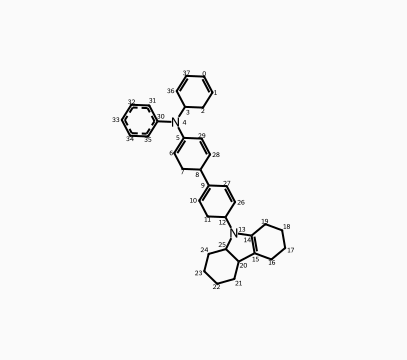 C1=CCC(N(C2=CCC(C3=CCC(N4C5=C(CCCC5)C5CCCCC54)C=C3)C=C2)c2ccccc2)C=C1